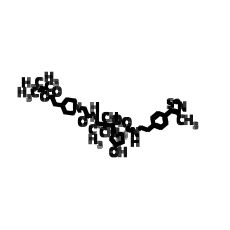 Cc1ncsc1-c1ccc(CCNC(=O)[C@@H]2C[C@@H](O)CN2C(=O)C(C)(C)[C@H](C)NC(=O)CN2CCC(CC(=O)OC(C)(C)C)CC2)cc1